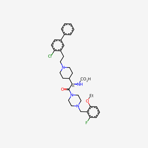 CCOc1cccc(F)c1CN1CCN(C(=O)[C@H](NC(=O)O)C2CCN(CCc3cc(-c4ccccc4)ccc3Cl)CC2)CC1